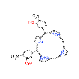 O=[N+]([O-])c1ccc(-c2c3nc(c(-c4ccc([N+](=O)[O-])c(O)c4)c4ccc(cc5nc(cc6ccc2[nH]6)C=C5)[nH]4)C=C3)cc1O